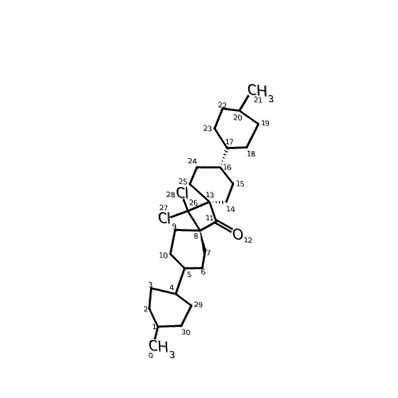 CC1CCC(C2CC[C@]3(CC2)C(=O)[C@@]2(CC[C@@H](C4CCC(C)CC4)CC2)C3(Cl)Cl)CC1